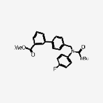 CCCCC(=O)N(Cc1ccc(-c2cccc(C(=O)OC)c2)cc1)c1ccc(F)cc1